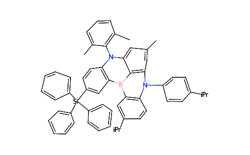 Cc1cc2c3c(c1)N(c1c(C)cccc1C)c1ccc([Si](c4ccccc4)(c4ccccc4)c4ccccc4)cc1B3c1cc(C(C)C)ccc1N2c1ccc(C(C)C)cc1